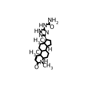 CN1C(=O)C=C[C@]2(C)C3CC[C@]4(C)[C@@H](c5n[nH]c(NC(N)=O)n5)CC[C@H]4C3CC[C@@H]12